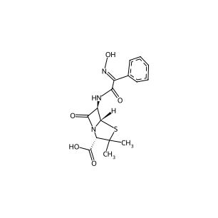 CC1(C)S[C@H]2[C@H](NC(=O)C(=NO)c3ccccc3)C(=O)N2[C@H]1C(=O)O